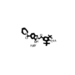 Br.CC(C)(C)c1cc(C(=O)CN2Cc3ccc(C(=O)N4CCCCC4)cc3C2=N)cc(C(C)(C)C)c1O